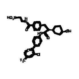 CC(C)(C)[C@H]1CC[C@@H](C(Cc2ccc(C(=O)NCCS(=O)(=O)O)cc2)C(=O)Nc2ccc(-c3ccc(C(F)(F)F)cc3Cl)cc2)CC1